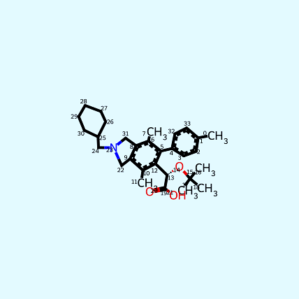 Cc1ccc(-c2c(C)c3c(c(C)c2[C@H](OC(C)(C)C)C(=O)O)CN(CC2CCCCC2)C3)cc1